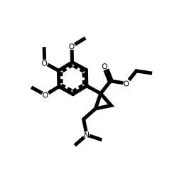 CCOC(=O)C1(c2cc(OC)c(OC)c(OC)c2)CC1CN(C)C